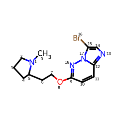 CN1CCCC1CCOc1ccc2ncc(Br)n2n1